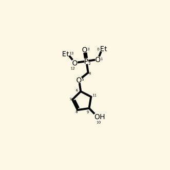 CCOP(=O)(COC1C=CC(O)C1)OCC